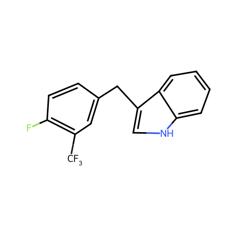 Fc1ccc(Cc2c[nH]c3ccccc23)cc1C(F)(F)F